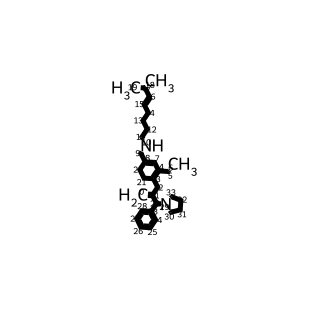 C=C(CC1=C(CC)C=C(CNCCCC/C=C/C(C)C)CC1)C(c1ccccc1)N1CCCC1